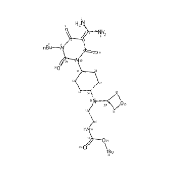 CCCCN1C(=O)C(=C(N)N)C(=O)N(C2CCC(N(CCNC(=O)OC(C)(C)C)C3COC3)CC2)C1=O